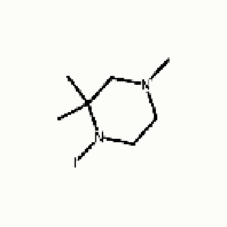 CN1CCN(I)C(C)(C)C1